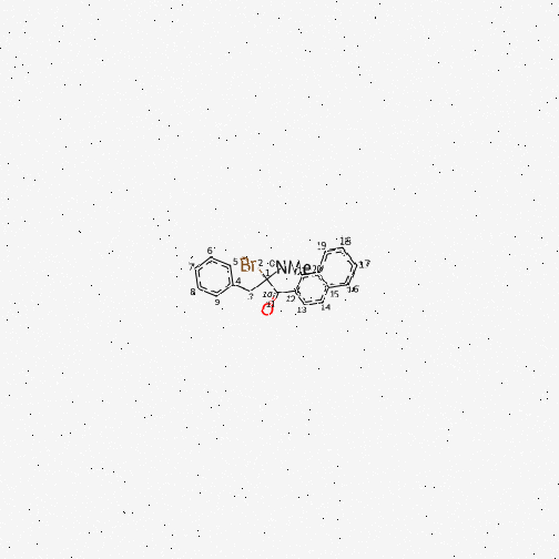 CNC(Br)(Cc1ccccc1)C(=O)c1ccc2ccccc2c1